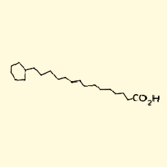 O=C(O)CCCCCCCCCCCCCCC1CCCCC1